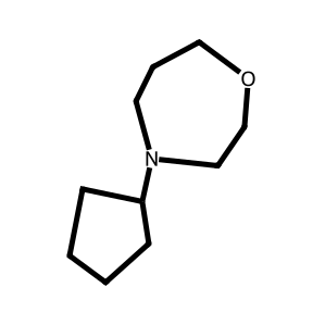 C1CCC(N2CCCOCC2)C1